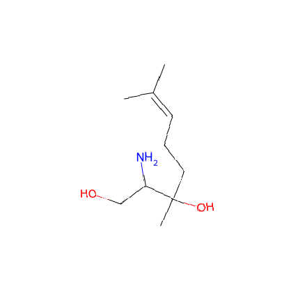 CC(C)=CCCC(C)(O)C(N)CO